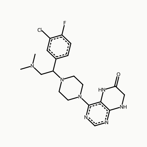 CN(C)CC(c1ccc(F)c(Cl)c1)N1CCN(c2ncnc3c2NC(=O)CN3)CC1